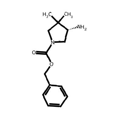 CC1(C)CN(C(=O)OCc2ccccc2)C[C@H]1N